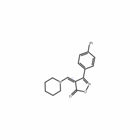 CC(C)c1ccc(C2=NOC(=O)/C2=C\N2CCCCC2)cc1